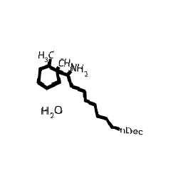 CCCCCCCCCCCCCCCCCC(N)C1(C)CCCCC1C.O